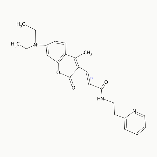 CCN(CC)c1ccc2c(C)c(/C=C/C(=O)NCCc3ccccn3)c(=O)oc2c1